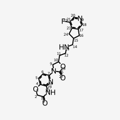 O=C1COc2ccc(N3CC(CCNCC4Cc5cncc(F)c5C4)OC3=O)nc2N1